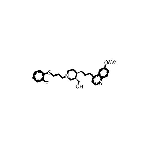 COc1ccc2nccc(CCC[C@@H]3CCN(CCCSc4ccccc4F)C[C@@H]3CO)c2c1